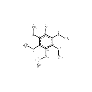 CSc1c([S-])c(SC)c(SC)c(SC)c1SC.[Cu+]